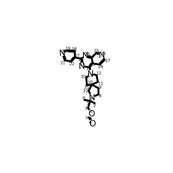 CC(C)(COC=O)N1CCC2(CCN(c3nc(-c4ccncc4)nc4cnccc34)CC2)C1